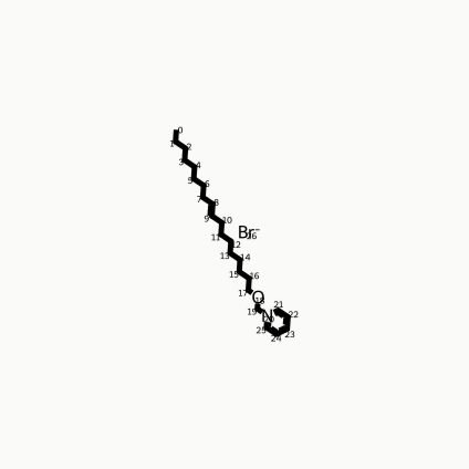 CCCCCCCCC=CCCCCCCCCOC[n+]1ccccc1.[Br-]